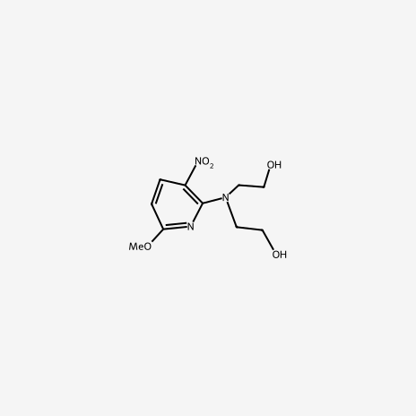 COc1ccc([N+](=O)[O-])c(N(CCO)CCO)n1